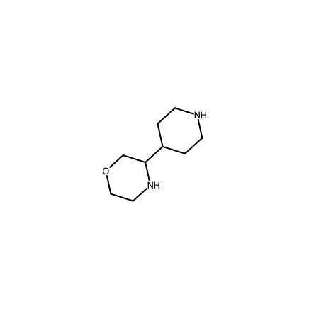 C1CC(C2COCCN2)CCN1